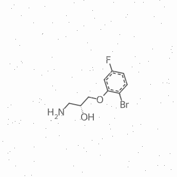 NC[C@@H](O)COc1cc(F)ccc1Br